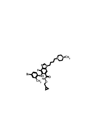 Cc1cc(Br)ccc1Nc1c(C(=O)NOCC2CC2)cc2c(ncn2CCCCN2CCN(C)CC2)c1F